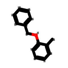 Cc1ccccc1O[CH]c1ccccc1